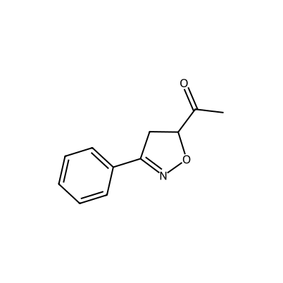 CC(=O)C1CC(c2ccccc2)=NO1